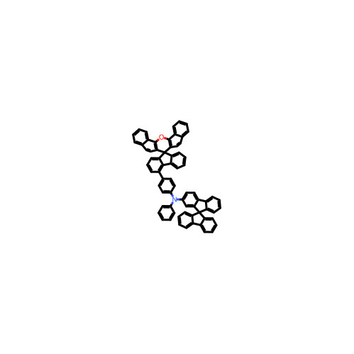 c1ccc(N(c2ccc(-c3cccc4c3-c3ccccc3C43c4ccc5ccccc5c4Oc4c3ccc3ccccc43)cc2)c2ccc3c(c2)C2(c4ccccc4-c4ccccc42)c2ccccc2-3)cc1